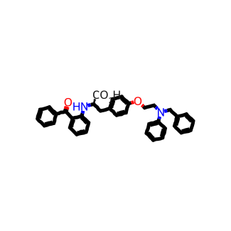 O=C(c1ccccc1)c1ccccc1N[C@H](Cc1ccc(OCCN(Cc2ccccc2)c2ccccc2)cc1)C(=O)O